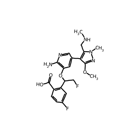 CNCc1c(-c2cnc(N)c(OC(CF)c3cc(F)ccc3C(=O)O)c2)c(OC)nn1C